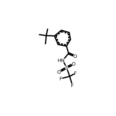 CC(C)(C)c1cccc(C(=O)NS(=O)(=O)C(F)(F)F)c1